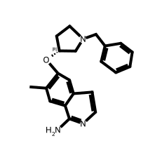 Cc1cc2c(N)nccc2cc1O[C@@H]1CCN(Cc2ccccc2)C1